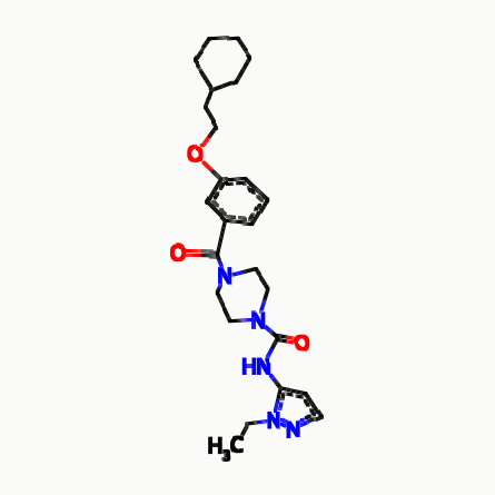 CCn1nccc1NC(=O)N1CCN(C(=O)c2cccc(OCCC3CCCCC3)c2)CC1